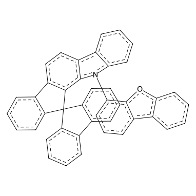 c1ccc2c(c1)-c1ccccc1C21c2ccccc2-c2ccc3c4ccccc4n(-c4cccc5c4oc4ccccc45)c3c21